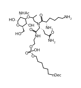 CCCCCCCCCCCCCCCCOP(=O)(O)OCCNC(=O)[C@@H](CCC(N)=O)N(CC(C)O[C@H]1[C@H](O)[C@@H](CO)O[C@H](O)[C@@H]1NC(C)=O)C(=O)[C@@H](N)CCCCN